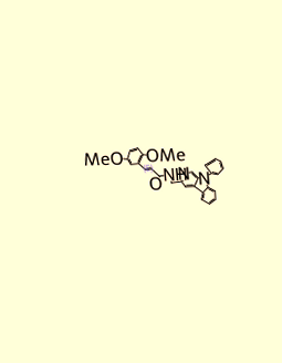 COc1ccc(OC)c(/C=C/C(=O)NCc2cc3c4ccccc4n(-c4ccccc4)c3cn2)c1